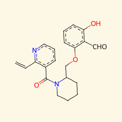 C=Cc1ncccc1C(=O)N1CCCCC1COc1cccc(O)c1C=O